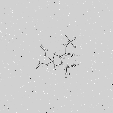 C=CCC1(CC=C)C[C@@H](C(=O)O)N(C(=O)OC(C)(C)C)C1